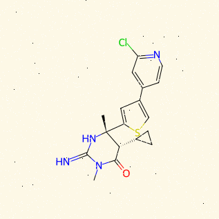 CN1C(=N)N[C@](C)(c2cc(-c3ccnc(Cl)c3)cs2)[C@H](C2CC2)C1=O